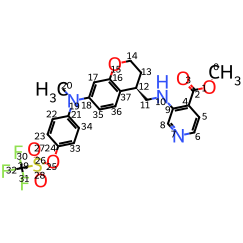 COC(=O)c1ccncc1NC[C@@H]1CCOc2cc(N(C)c3ccc(OS(=O)(=O)C(F)(F)F)cc3)ccc21